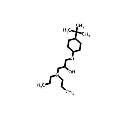 CCCN(CCC)CC(O)COC1CCC(C(C)(C)C)CC1